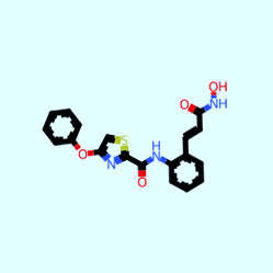 O=C(C=Cc1ccccc1NC(=O)c1nc(Oc2ccccc2)cs1)NO